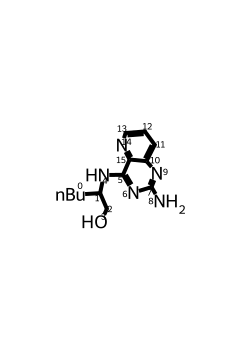 CCCCC(CO)Nc1nc(N)nc2cccnc12